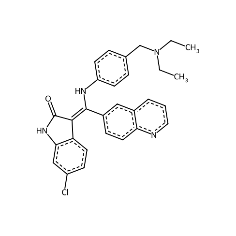 CCN(CC)Cc1ccc(N/C(=C2\C(=O)Nc3cc(Cl)ccc32)c2ccc3ncccc3c2)cc1